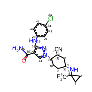 N#C[C@H]1C[C@H](NC2(C(F)(F)F)CC2)CC[C@@H]1n1cc(C(N)=O)c(Nc2ccc(Cl)cc2)n1